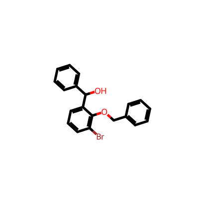 OC(c1ccccc1)c1cccc(Br)c1OCc1ccccc1